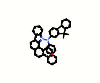 CC1(C)c2ccccc2-c2ccc(N(c3ccccc3)n3c4ccccc4c4ccc5ccc6c7ccccc7ccc6c5c43)cc21